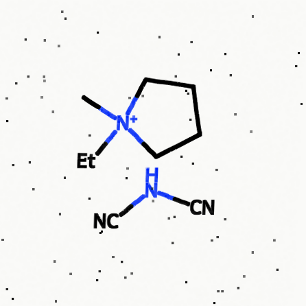 CC[N+]1(C)CCCC1.N#CNC#N